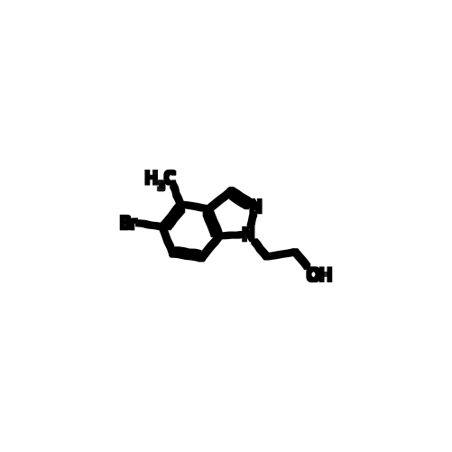 Cc1c(Br)ccc2c1cnn2CCO